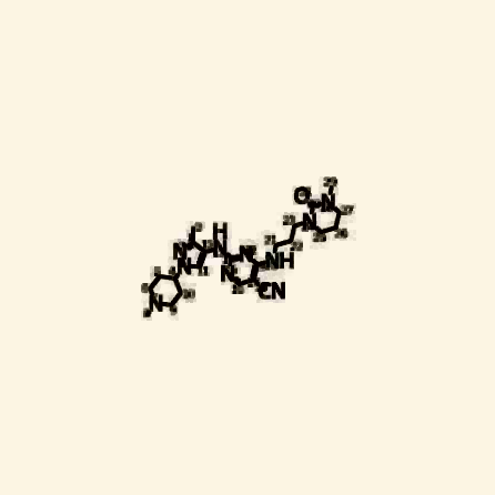 Cc1nn(C2CCN(C)CC2)cc1Nc1ncc(C#N)c(NCCCN2CCCN(C)C2=O)n1